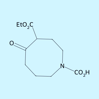 CCOC(=O)C1CCN(C(=O)O)CCCC1=O